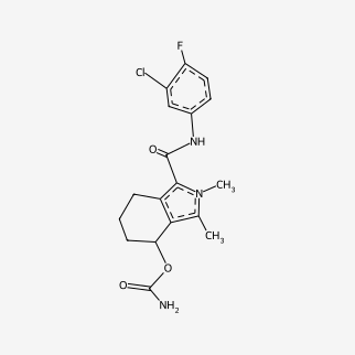 Cc1c2c(c(C(=O)Nc3ccc(F)c(Cl)c3)n1C)CCCC2OC(N)=O